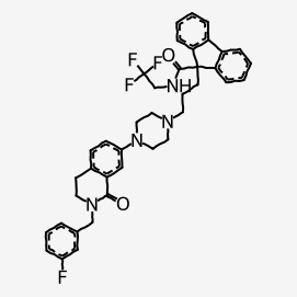 O=C1c2cc(N3CCN(CCCC4(C(=O)NCC(F)(F)F)c5ccccc5-c5ccccc54)CC3)ccc2CCN1Cc1cccc(F)c1